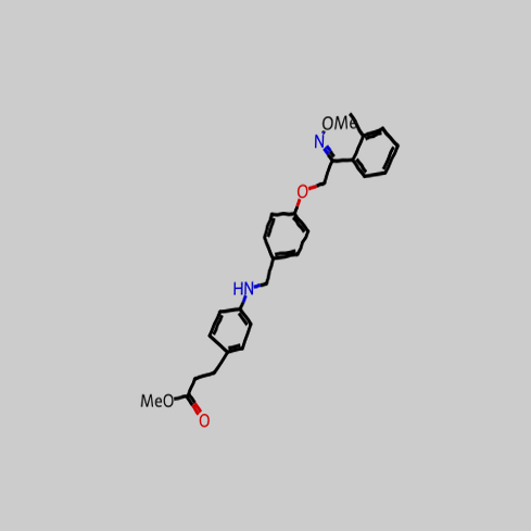 CON=C(COc1ccc(CNc2ccc(CCC(=O)OC)cc2)cc1)c1ccccc1C